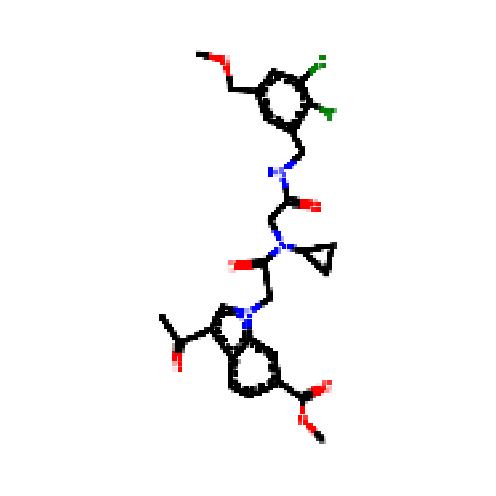 COCc1cc(Cl)c(F)c(CNC(=O)CN(C(=O)Cn2cc(C(C)=O)c3ccc(C(=O)OC)cc32)C2CC2)c1